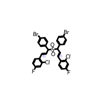 O=S(=O)(C(/C=C/c1ccc(F)cc1Cl)c1ccc(Br)cc1)C(/C=C/c1ccc(F)cc1Cl)c1ccc(Br)cc1